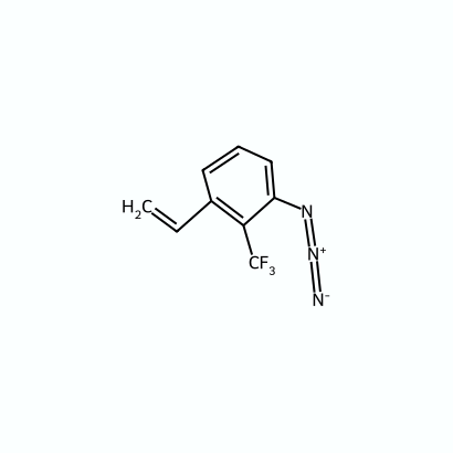 C=Cc1cccc(N=[N+]=[N-])c1C(F)(F)F